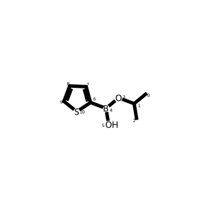 CC(C)OB(O)c1cccs1